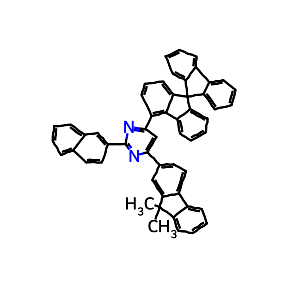 CC1(C)c2ccccc2-c2ccc(-c3cc(-c4cccc5c4-c4ccccc4C54c5ccccc5-c5ccccc54)nc(-c4ccc5ccccc5c4)n3)cc21